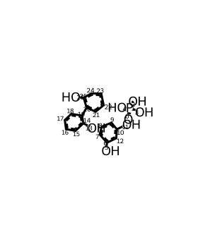 O=P(O)(O)O.Oc1cccc(O)c1.Oc1ccccc1-c1ccccc1O